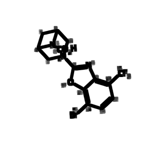 O=C(O)N1C2CC1CN(c1nc3c(C(F)(F)F)ccc(Br)c3o1)C2